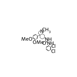 COc1ccc(C23CCC(NC(=O)Nc4cccc(Cl)c4Cl)CC2N(C)CC3)cc1OC